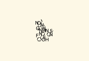 C=CC(=O)N1CCN(/C(=N/c2cccnc2SC)c2cc(F)c(-c3c(O)cccc3F)nc2NC=O)CC1CC#N